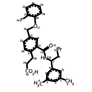 Cc1cc(C)cc(C(CC(C)C)NC(=O)c2cc(COc3ccccc3F)ccc2CCC(=O)O)c1